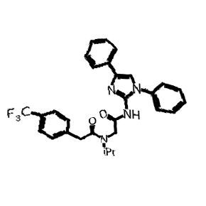 CC(C)N(CC(=O)Nc1nc(-c2ccccc2)cn1-c1ccccc1)C(=O)Cc1ccc(C(F)(F)F)cc1